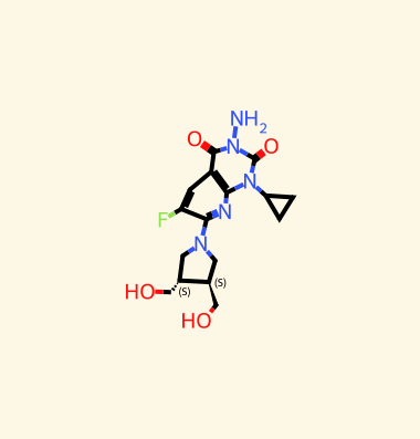 Nn1c(=O)c2cc(F)c(N3C[C@@H](CO)[C@H](CO)C3)nc2n(C2CC2)c1=O